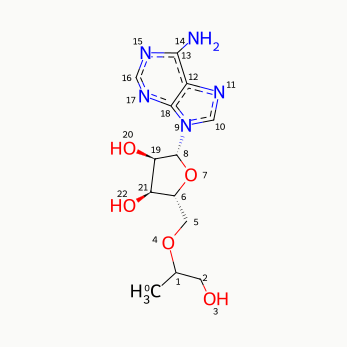 CC(CO)OC[C@H]1O[C@@H](n2cnc3c(N)ncnc32)[C@H](O)[C@@H]1O